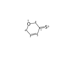 S=C1C=CCOC1